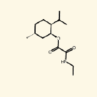 CCNC(=O)C(=O)O[C@H]1C[C@H](C)CC[C@H]1C(C)C